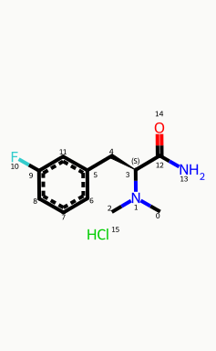 CN(C)[C@@H](Cc1cccc(F)c1)C(N)=O.Cl